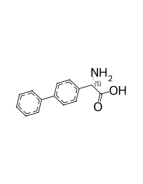 N[C@H](C(=O)O)c1ccc(-c2ccccc2)cc1